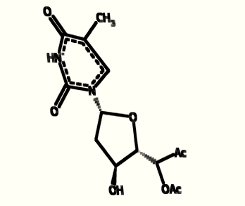 CC(=O)OC(C(C)=O)[C@H]1O[C@@H](n2cc(C)c(=O)[nH]c2=O)C[C@@H]1O